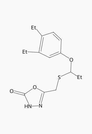 CCc1ccc(OC(CC)SCc2n[nH]c(=O)o2)cc1CC